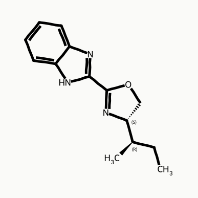 CC[C@@H](C)[C@H]1COC(c2nc3ccccc3[nH]2)=N1